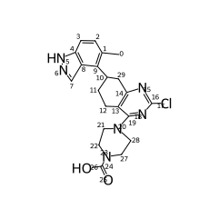 Cc1ccc2[nH]ncc2c1C1CCc2c(nc(Cl)nc2N2CCN(C(=O)O)CC2)C1